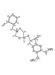 CCCOc1cc2c(cc1OCCC)C(=O)C(CC1(C)CCN(Cc3ccccc3F)CC1)C2